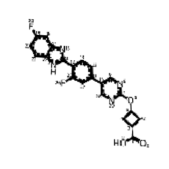 O=C(O)[C@H]1C[C@@H](Oc2ncc(-c3ccc(-c4nc5cc(F)ccc5[nH]4)c(F)c3)cn2)C1